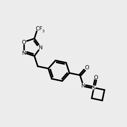 O=C(N=S1(=O)CCC1)c1ccc(Cc2noc(C(F)(F)F)n2)cc1